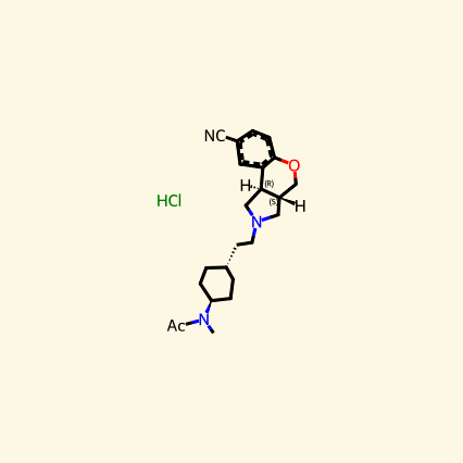 CC(=O)N(C)[C@H]1CC[C@H](CCN2C[C@H]3COc4ccc(C#N)cc4[C@@H]3C2)CC1.Cl